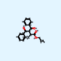 CCOC(=O)C(C)C(C(=O)c1ccccc1)C(=O)c1ccccc1